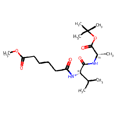 COC(=O)CCCCC(=O)N[C@H](C(=O)N[C@@H](C)C(=O)OC(C)(C)C)C(C)C